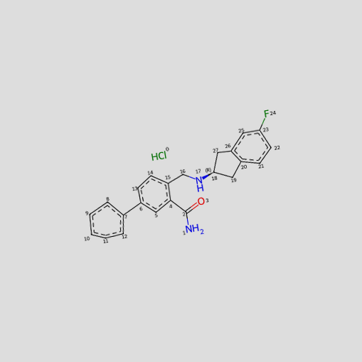 Cl.NC(=O)c1cc(-c2ccccc2)ccc1CN[C@@H]1Cc2ccc(F)cc2C1